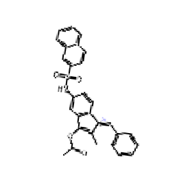 CC(=O)OC1=C(C)/C(=C\c2ccccc2)c2ccc(NS(=O)(=O)c3ccc4ccccc4c3)cc21